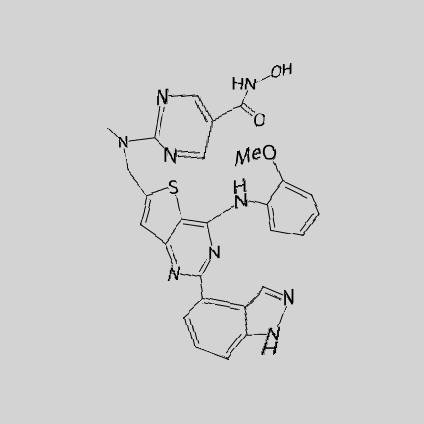 COc1ccccc1Nc1nc(-c2cccc3[nH]ncc23)nc2cc(CN(C)c3ncc(C(=O)NO)cn3)sc12